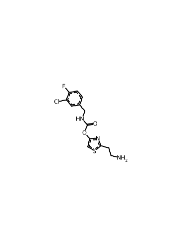 NCCc1nc(OC(=O)NCc2ccc(F)c(Cl)c2)cs1